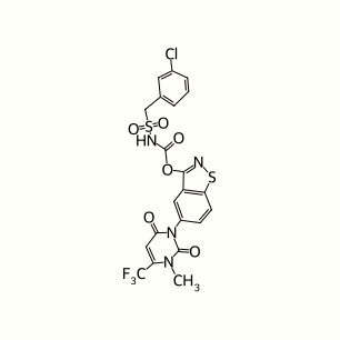 Cn1c(C(F)(F)F)cc(=O)n(-c2ccc3snc(OC(=O)NS(=O)(=O)Cc4cccc(Cl)c4)c3c2)c1=O